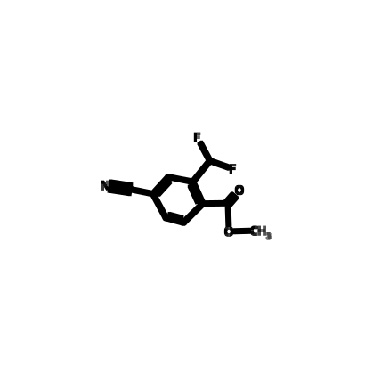 COC(=O)c1ccc(C#N)cc1C(F)F